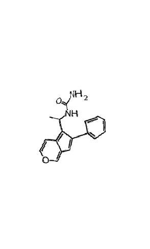 CC(NC(N)=O)c1c2ccocc-2cc1-c1ccccc1